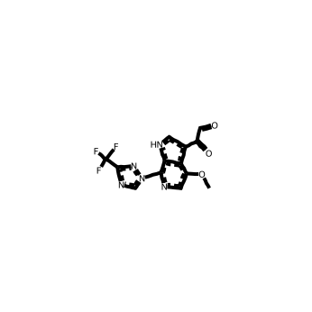 COc1cnc(-n2cnc(C(F)(F)F)n2)c2[nH]cc(C(=O)C=O)c12